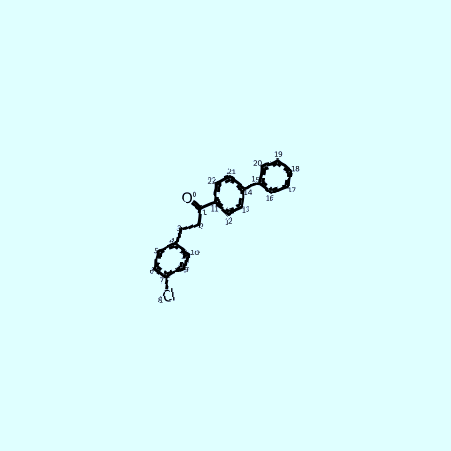 O=C(CCc1ccc(Cl)cc1)c1ccc(-c2ccccc2)cc1